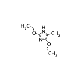 CCOc1nc(OCC)c(C)[nH]1